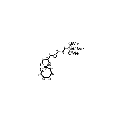 CO[Si](CCCOCC1COC2(CCCCCO2)O1)(OC)OC